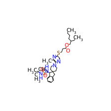 CCCCC(CC)COC(=O)CCSc1cnc(N2CCC3(CC2)Cc2ccccc2[C@H]3NS(=O)(=O)NC(C)(C)C)c(C)n1